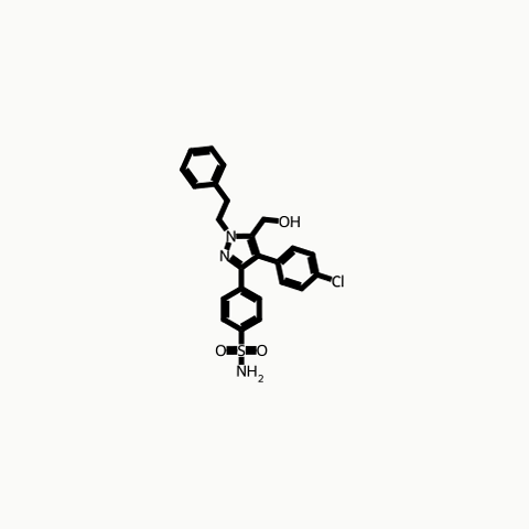 NS(=O)(=O)c1ccc(-c2nn(CCc3ccccc3)c(CO)c2-c2ccc(Cl)cc2)cc1